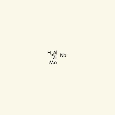 [AlH3].[Mo].[Nb].[Zr]